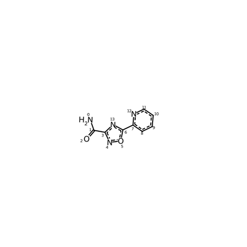 NC(=O)c1noc(-c2ccccn2)n1